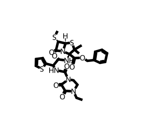 CCN1CCN(C(=O)NC(C(=O)N[C@@]2(C(=O)OCc3ccccc3)N3C(=O)[C@H](SC)[C@H]3SC2(C)C)c2cccs2)C(=O)C1=O